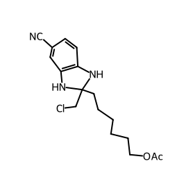 CC(=O)OCCCCCCC1(CCl)Nc2ccc(C#N)cc2N1